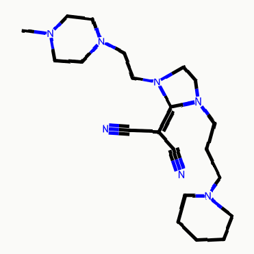 CN1CCN(CCN2CCN(CCCN3CCCCC3)C2=C(C#N)C#N)CC1